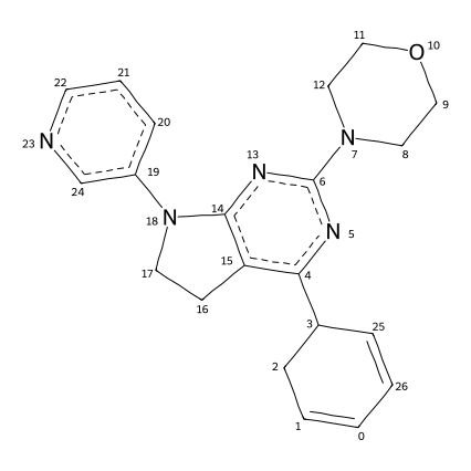 C1=CCC(c2nc(N3CCOCC3)nc3c2CCN3c2cccnc2)C=C1